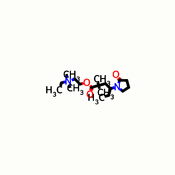 CCC(CC(C)(C)C(=O)OCC[N+](C)(C)CC)N1CCCC1=O